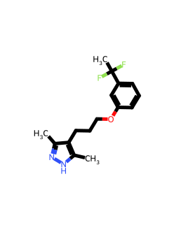 Cc1n[nH]c(C)c1CCCOc1cccc(C(C)(F)F)c1